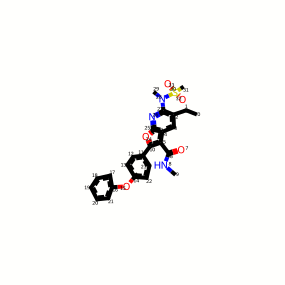 CCc1cc2c(C(=O)NC)c(-c3ccc(Oc4ccccc4)cc3)oc2nc1N(C)S(C)(=O)=O